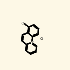 Clc1cccc2c1ccc1cccc[n+]12.[Cl-]